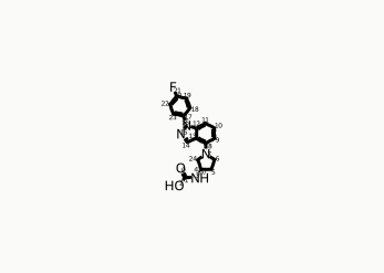 O=C(O)N[C@H]1CCN(c2cccc3c2cnn3-c2ccc(F)cc2)C1